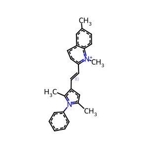 Cc1ccc2c(ccc(/C=C/c3cc(C)n(-c4ccccc4)c3C)[n+]2C)c1